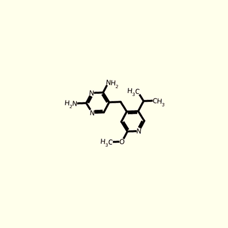 COc1cc(Cc2cnc(N)nc2N)c(C(C)C)cn1